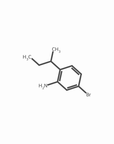 CCC(C)c1ccc(Br)cc1N